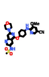 COc1cc(C#N)cnc1NC1CCC(Oc2nc(N3CCOCC3)cc3ncc(NS(C)(=O)=O)cc23)CC1